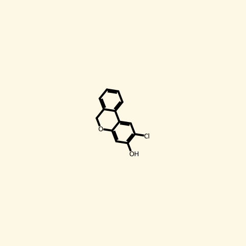 Oc1cc2c(cc1Cl)-c1ccccc1CO2